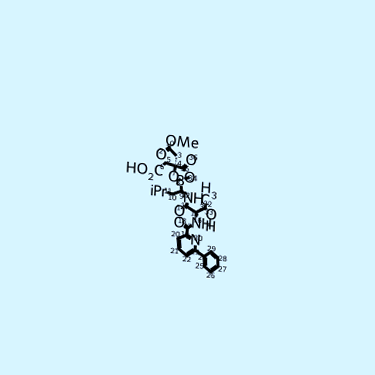 COC(=O)C[C@@]1(CC(=O)O)OB(C(CC(C)C)NC(=O)C(NC(=O)c2cccc(-c3ccccc3)n2)C(C)O)OC1=O